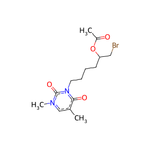 CC(=O)OC(CBr)CCCCn1c(=O)c(C)cn(C)c1=O